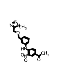 CC(=O)c1ccc(Nc2cccc(COCc3ncnn3C)c2)c([N+](=O)[O-])c1